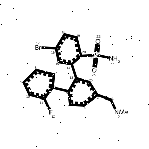 CNCc1ccc(-c2ccccc2F)c(-c2cc(Br)ccc2S(N)(=O)=O)c1